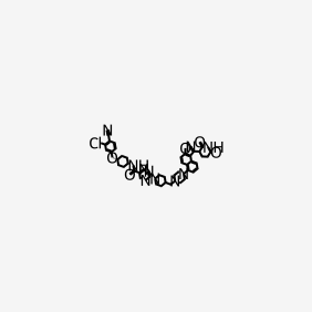 N#Cc1ccc(O[C@H]2CC[C@H](NC(=O)c3cnc(N4CCC(CN5CCN(c6cccc7c6ccc6onc(C8CCC(=O)NC8=O)c67)CC5)CC4)nn3)CC2)cc1Cl